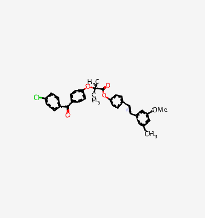 COc1cc(C)cc(/C=C/c2ccc(OC(=O)C(C)(C)Oc3ccc(C(=O)c4ccc(Cl)cc4)cc3)cc2)c1